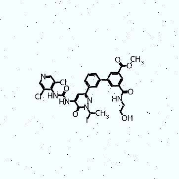 COC(=O)c1cc(C(=O)NCCO)cc(-c2cccc(-c3cc(NC(=O)Nc4c(Cl)cncc4Cl)c(=O)n(C(C)I)n3)c2)c1